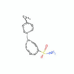 Cc1ccc(-c2cccc(S(N)(=O)=O)c2)cc1